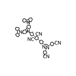 N#Cc1ccc(-c2cc(-c3ccc(-c4cc(C#N)c(-c5ccc(-n6c7ccc(-n8c9ccccc9c9ccccc98)cc7c7cc(-n8c9ccccc9c9ccccc98)ccc76)cc5)c(C#N)c4)cc3)nc(-c3ccc(C#N)cc3)n2)cc1